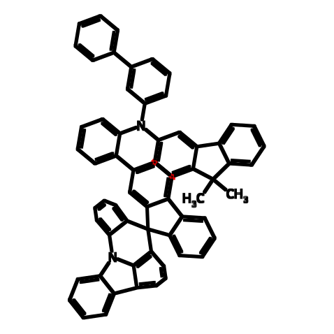 CC1(C)c2ccccc2-c2cc(N(c3cccc(-c4ccccc4)c3)c3ccccc3-c3ccc4c(c3)C3(c5ccccc5-4)c4ccccc4-n4c5ccccc5c5cccc3c54)ccc21